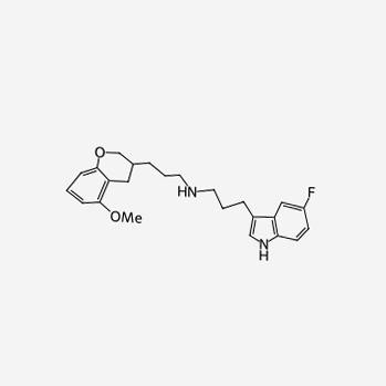 COc1cccc2c1CC(CCCNCCCc1c[nH]c3ccc(F)cc13)CO2